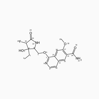 CCC1(O)C(COc2nccc3cc(C(N)=O)c(OC)cc23)NC(=O)C1F